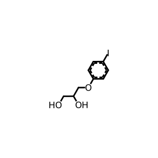 OCC(O)COc1ccc(I)cc1